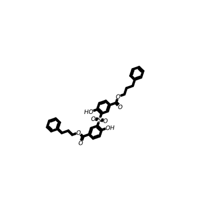 O=C(OCCCc1ccccc1)c1ccc(O)c(S(=O)(=O)c2cc(C(=O)OCCCc3ccccc3)ccc2O)c1